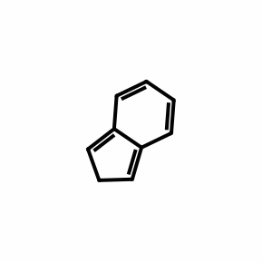 C1=c2ccccc2=CC1